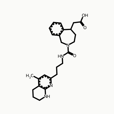 Cc1cc(CCCNC(=O)N2CCC(CC(=O)O)c3ccccc3C2)nc2c1CCCN2